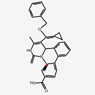 C=NN1C(=C)NC(C)=C(C(OCc2ccccc2)=C2CC2)C1c1ccccc1-c1ccc(C(=O)O)cc1